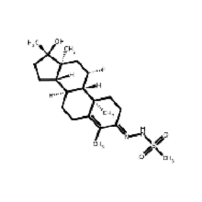 CC1=C2CC[C@@H]3[C@H]([C@@H](F)C[C@@]4(C)[C@H]3CC[C@]4(C)O)[C@@]2(C)CC/C1=N\NS(C)(=O)=O